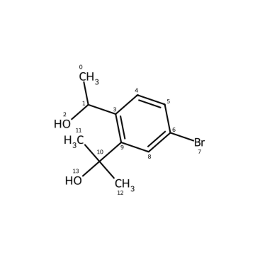 CC(O)c1ccc(Br)cc1C(C)(C)O